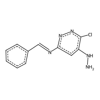 NNc1cc(N=Cc2ccccc2)nnc1Cl